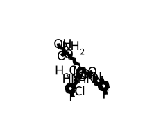 CN(C(=O)NCc1cccc(F)c1Cl)[C@@H](CCCCOC(=O)[C@H](N)CO)COC(=O)Nc1cc2cc(F)ccc2cn1